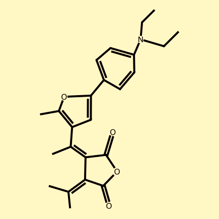 CCN(CC)c1ccc(-c2cc(C(C)=C3C(=O)OC(=O)C3=C(C)C)c(C)o2)cc1